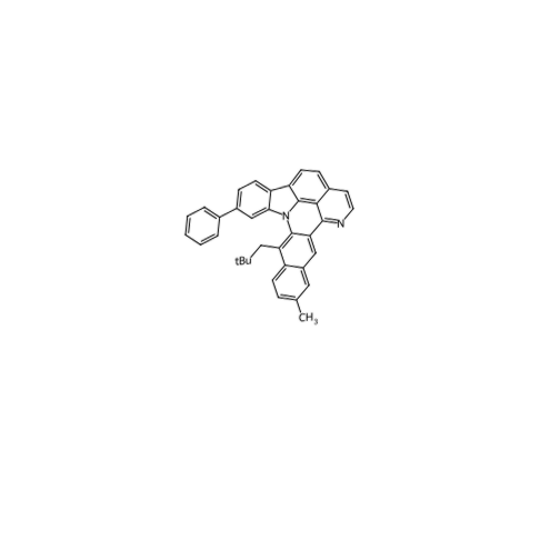 Cc1ccc2c(CC(C)(C)C)c3c(cc2c1)c1nccc2ccc4c5ccc(-c6ccccc6)cc5n3c4c21